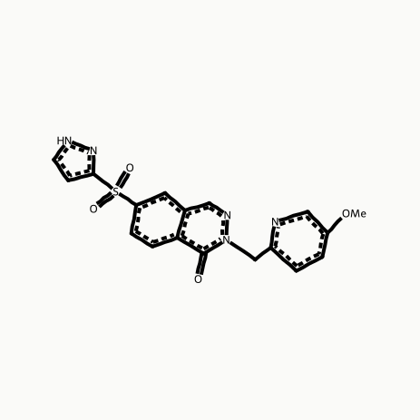 COc1ccc(Cn2ncc3cc(S(=O)(=O)c4cc[nH]n4)ccc3c2=O)nc1